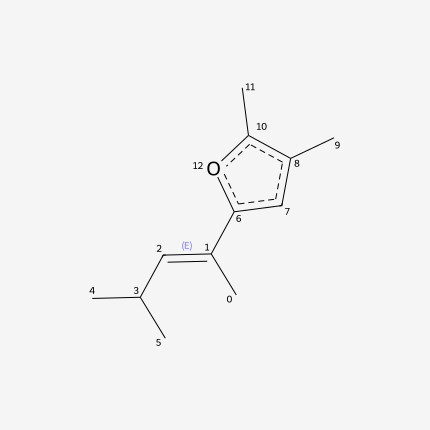 C/C(=C\C(C)C)c1cc(C)c(C)o1